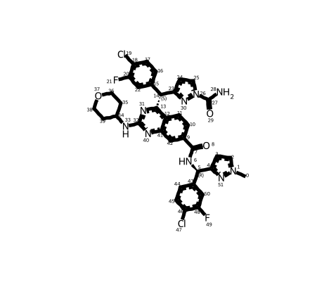 Cn1ccc([C@H](NC(=O)c2ccc3c([C@H](c4ccc(Cl)c(F)c4)c4ccn(C(N)=O)n4)nc(NC4CCOCC4)nc3c2)c2ccc(Cl)c(F)c2)n1